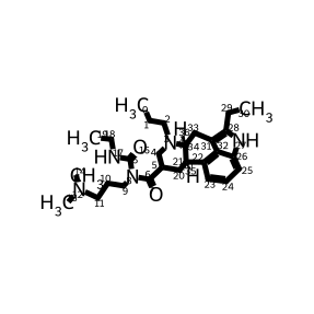 CCCN1CC(C(=O)N(CCCN(C)C)C(=O)NCC)C[C@@H]2c3cccc4[nH]c(CC)c(c34)C[C@H]21